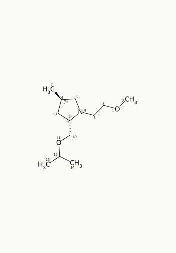 COCCN1C[C@H](C)C[C@H]1COC(C)C